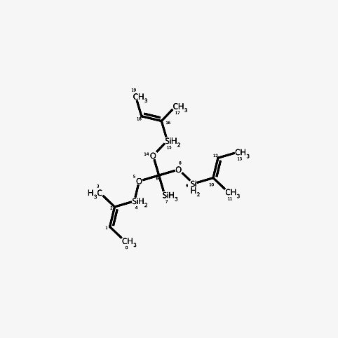 CC=C(C)[SiH2]OC([SiH3])(O[SiH2]C(C)=CC)O[SiH2]C(C)=CC